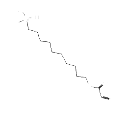 C=CC(=O)OCCCCCCCCCC[Si](C)(C)Cl